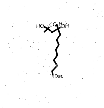 CCCCCCCCCCCCCCCCCCC(C)(O)CC(C)(O)C(=O)O